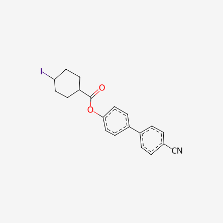 N#Cc1ccc(-c2ccc(OC(=O)C3CCC(I)CC3)cc2)cc1